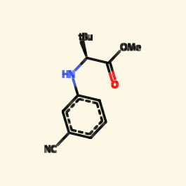 COC(=O)[C@@H](Nc1cccc(C#N)c1)C(C)(C)C